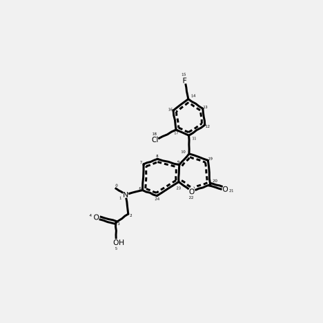 CN(CC(=O)O)c1ccc2c(-c3ccc(F)cc3Cl)cc(=O)oc2c1